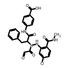 CNC(=O)c1ccc(Cl)cc1NN(C(=O)C=O)C(Cc1ccccc1)C(=O)Nc1ccc(C(=O)O)cc1